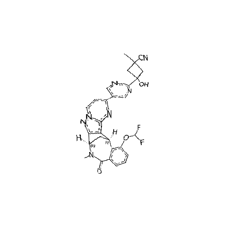 CN1C(=O)c2cccc(OC(F)F)c2[C@H]2C[C@@H]1c1nn3ccc(-c4cnc(C5(O)CC(C)(C#N)C5)nc4)nc3c12